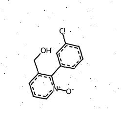 [O-][n+]1cccc(CO)c1-c1cccc(Cl)c1